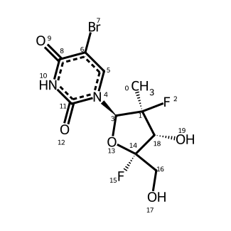 C[C@@]1(F)[C@H](n2cc(Br)c(=O)[nH]c2=O)O[C@](F)(CO)[C@H]1O